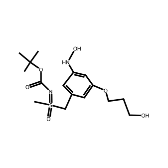 CC(C)(C)OC(=O)N=S(C)(=O)Cc1cc(NO)cc(OCCCO)c1